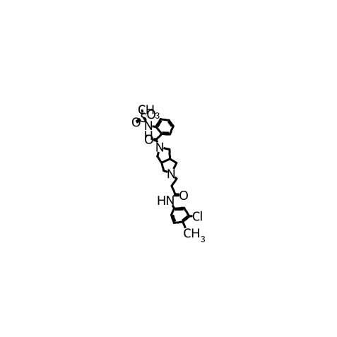 Cc1ccc(NC(=O)CCN2CC3CN(C(=O)c4ccccc4NS(C)(=O)=O)CC3C2)cc1Cl